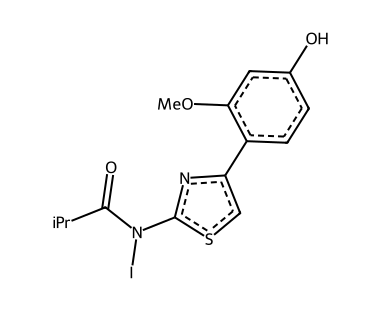 COc1cc(O)ccc1-c1csc(N(I)C(=O)C(C)C)n1